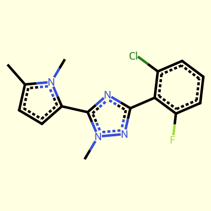 Cc1ccc(-c2nc(-c3c(F)cccc3Cl)nn2C)n1C